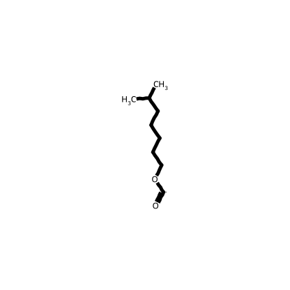 CC(C)CCCCCO[C]=O